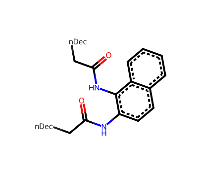 CCCCCCCCCCCC(=O)Nc1ccc2ccccc2c1NC(=O)CCCCCCCCCCC